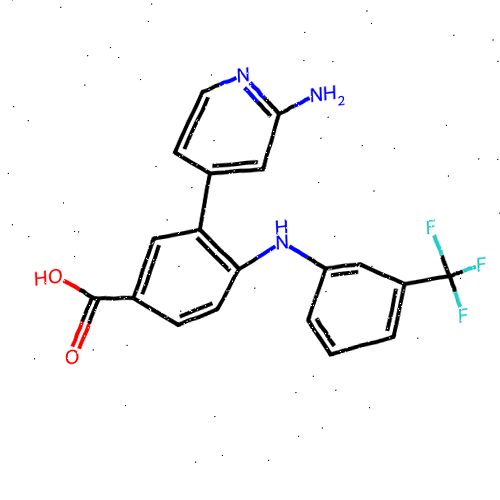 Nc1cc(-c2cc(C(=O)O)ccc2Nc2cccc(C(F)(F)F)c2)ccn1